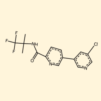 CC(C)(NC(=O)c1ccc(-c2cncc(Cl)c2)cn1)C(F)(F)F